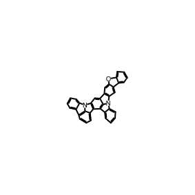 c1ccc2c(c1)oc1cc3c4cc5c(c6cccc7c8ccccc8n5c76)c5c6ccccc6n(c3cc12)c45